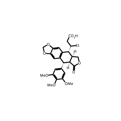 CCC(CC(=O)O)[C@H]1c2cc3c(cc2[C@@H](c2cc(OC)c(OC)c(OC)c2)[C@@H]2C(=O)OC[C@@H]21)OCO3